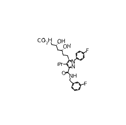 CC(C)c1c(C(=O)NCc2cccc(F)c2)nn(-c2ccc(F)cc2)c1CC[C@@H](O)C[C@@H](O)CC(=O)O